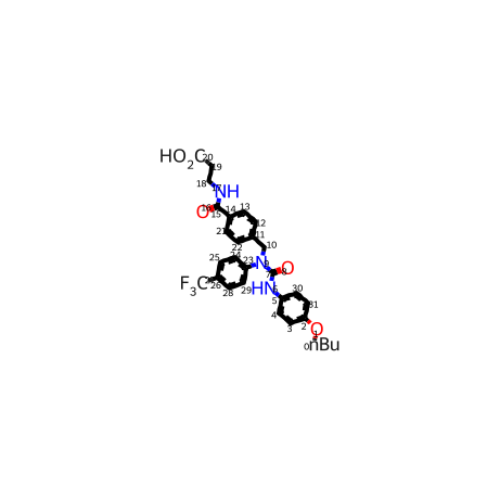 CCCCOc1ccc(NC(=O)N(Cc2ccc(C(=O)NCCC(=O)O)cc2)c2ccc(C(F)(F)F)cc2)cc1